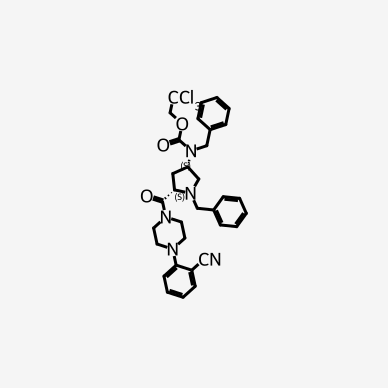 N#Cc1ccccc1N1CCN(C(=O)[C@@H]2C[C@H](N(Cc3ccccc3)C(=O)OCC(Cl)(Cl)Cl)CN2Cc2ccccc2)CC1